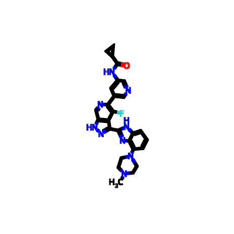 CN1CCN(c2cccc3[nH]c(-c4n[nH]c5cnc(-c6cncc(NC(=O)C7CC7)c6)c(F)c45)nc23)CC1